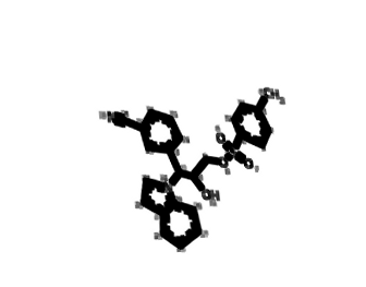 Cc1ccc(S(=O)(=O)OCC(O)C(c2cccc(C#N)c2)n2ccc3ccccc32)cc1